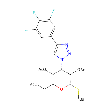 CCCCSC1OC(COC(C)=O)C(OC(C)=O)C(n2cc(-c3cc(F)c(F)c(F)c3)nn2)C1OC(C)=O